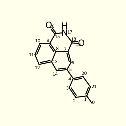 Cc1ccc(-c2cc3c4c(cccc4c2)C(=O)NC3=O)cc1